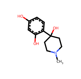 CN1CCC(O)(c2ccc(O)cc2O)CC1